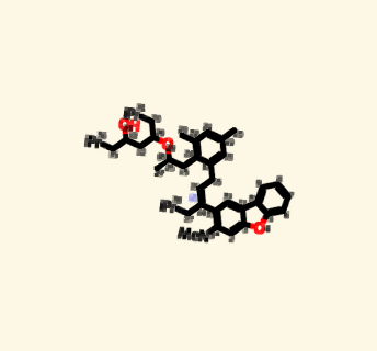 CNc1cc2oc3ccccc3c2cc1/C(=C\Cc1cc(C)cc(C)c1C[C@@H](C)OC(CC(C)C)CC(O)CC(C)C)CC(C)C